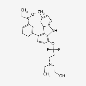 CCN(CCO)CCC(F)(F)Oc1ccc(C2=CC([S+]([O-])CC)=CCC2)c2c1NC1=NC=C(C)CC12